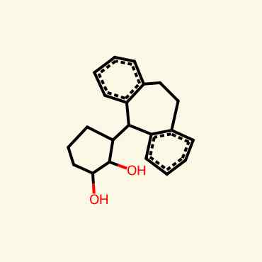 OC1CCCC(C2c3ccccc3CCc3ccccc32)C1O